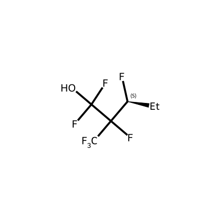 CC[C@H](F)C(F)(C(O)(F)F)C(F)(F)F